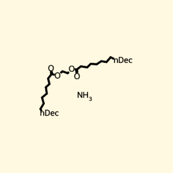 CCCCCCCCCCCCCCCCCC(=O)OCCOC(=O)CCCCCCCCCCCCCCCCC.N